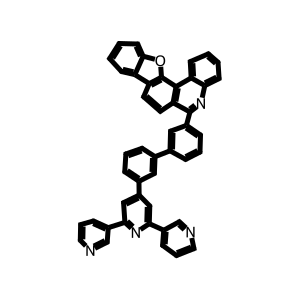 c1cc(-c2cccc(-c3nc4ccccc4c4c3ccc3c5ccccc5oc34)c2)cc(-c2cc(-c3cccnc3)nc(-c3cccnc3)c2)c1